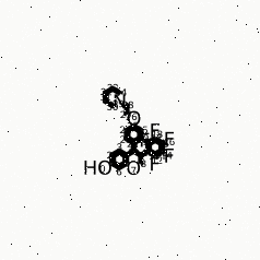 Oc1ccc2c(c1)OCC(c1c(F)c(F)c(F)c(F)c1F)C2c1ccc(OCCN2CCCCC2)cc1